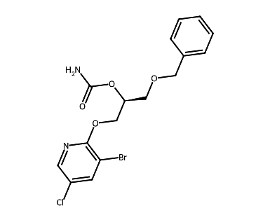 NC(=O)O[C@@H](COCc1ccccc1)COc1ncc(Cl)cc1Br